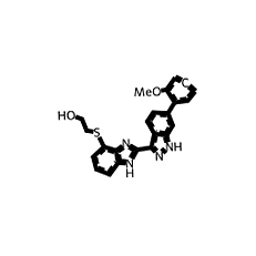 COc1ccccc1-c1ccc2c(-c3nc4c(SCCO)cccc4[nH]3)n[nH]c2c1